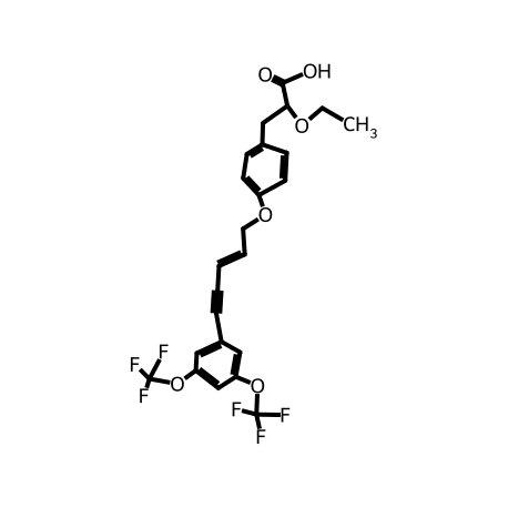 CCOC(Cc1ccc(OCC=CC#Cc2cc(OC(F)(F)F)cc(OC(F)(F)F)c2)cc1)C(=O)O